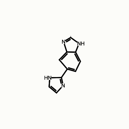 [c]1nc2cc(-c3ncc[nH]3)ccc2[nH]1